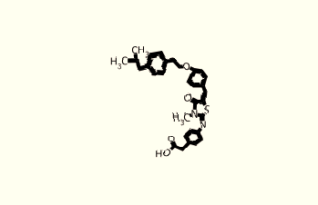 CC(C)Cc1ccc(CCOc2ccc(C=C3SC(=Nc4ccc(CC(=O)O)cc4)N(C)C3=O)cc2)cc1